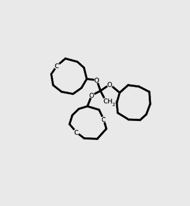 [CH2]C(OC1CCCCCCCCC1)(OC1CCCCCCCCC1)OC1CCCCCCCCC1